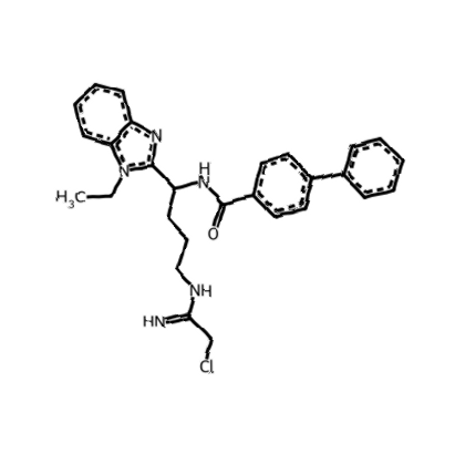 CCn1c(C(CCCNC(=N)CCl)NC(=O)c2ccc(-c3ccccc3)cc2)nc2ccccc21